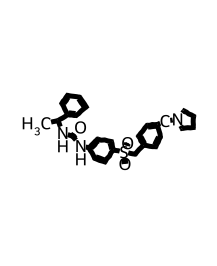 CC(NC(=O)Nc1ccc(S(=O)(=O)Cc2ccc(CN3CCCC3)cc2)cc1)c1ccccc1